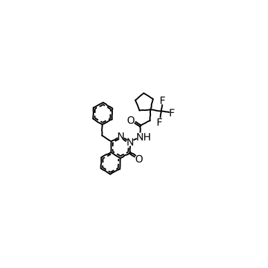 O=C(CC1(C(F)(F)F)CCCC1)Nn1nc(Cc2ccccc2)c2ccccc2c1=O